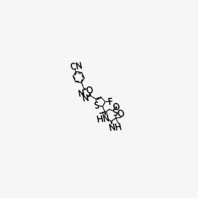 CC1(C)C(=N)N[C@](C)(C2SC(c3nnc(-c4ccc(C#N)cc4)o3)=CC2F)CS1(=O)=O